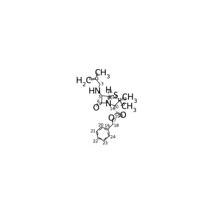 C=C(C)CNC1C(=O)N2[C@@H]1SC(C)(C)[C@@H]2C(=O)OCc1ccccc1